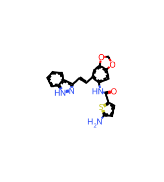 Nc1ccc(C(=O)Nc2cc3c(cc2C=Cc2n[nH]c4ccccc24)OCO3)s1